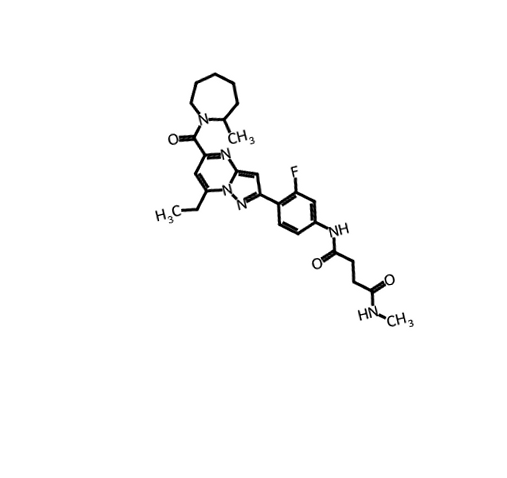 CCc1cc(C(=O)N2CCCCCC2C)nc2cc(-c3ccc(NC(=O)CCC(=O)NC)cc3F)nn12